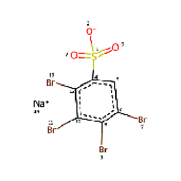 O=S(=O)([O-])c1cc(Br)c(Br)c(Br)c1Br.[Na+]